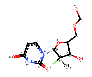 C[C@@]1(F)[C@H](O)C(COCO)O[C@H]1n1ccc(=O)[nH]c1=O